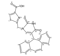 O=C(O)c1csc(Cn2cc(C3c4ccccc4C=Cc4ccccc43)c(=O)[nH]c2=O)n1